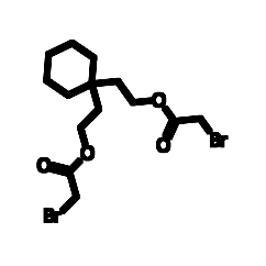 O=C(CBr)OCCC1(CCOC(=O)CBr)CCCCC1